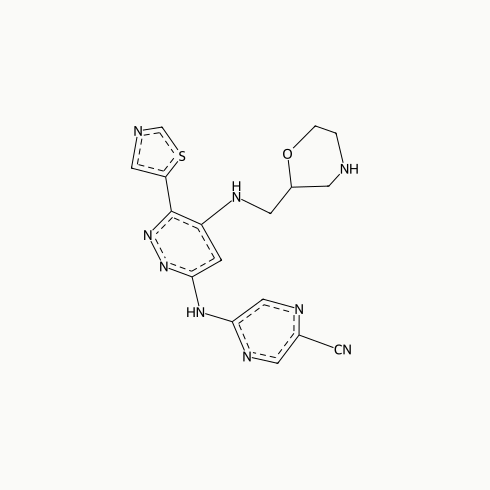 N#Cc1cnc(Nc2cc(NCC3CNCCO3)c(-c3cncs3)nn2)cn1